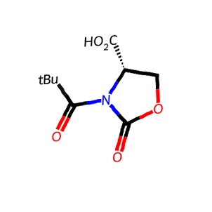 CC(C)(C)C(=O)N1C(=O)OC[C@H]1C(=O)O